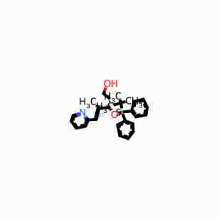 C/C(=C\c1ccccn1)[C@H](CCO)O[Si](c1ccccc1)(c1ccccc1)C(C)(C)C